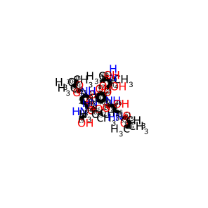 CN[C@@H]1[C@@H](O)[C@@H](O[C@@H]2[C@@H](O)[C@H](O[C@H]3OC(CNCCO)=CC[C@H]3NC(=O)OC(C)(C)C)[C@@H](NC(=O)OC(C)(C)C)C[C@H]2NC(=O)[C@@H](O)CCNC(=O)OC(C)(C)C)OC[C@]1(C)O